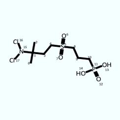 CC(C)(CCS(=O)(=O)CCCP(=O)(O)O)N(Cl)Cl